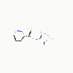 CC1=C(Cc2c[nH]c3ncccc23)C(C)N(C(=O)O)N1F